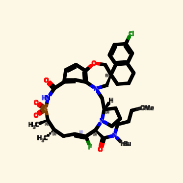 CCCCN(CCCOC)C(=O)[C@H]1/C(F)=C/C[C@H](C)[C@@H](C)S(=O)(=O)NC(=O)c2ccc3c(c2)N(C[C@@H]2CCCN21)C[C@@]1(CCCc2cc(Cl)ccc21)CO3